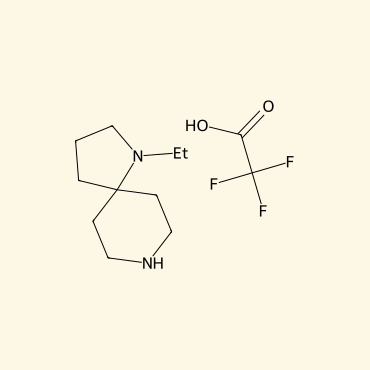 CCN1CCCC12CCNCC2.O=C(O)C(F)(F)F